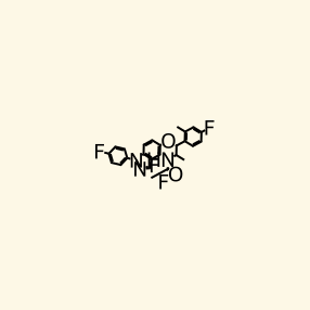 Cc1cc(F)ccc1C(Oc1ccc2c(cnn2-c2ccc(F)cc2)c1)C(C)NC(=O)C(C)(F)F